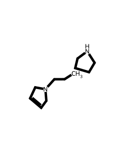 C1CCNC1.CCCN1CC=CC1